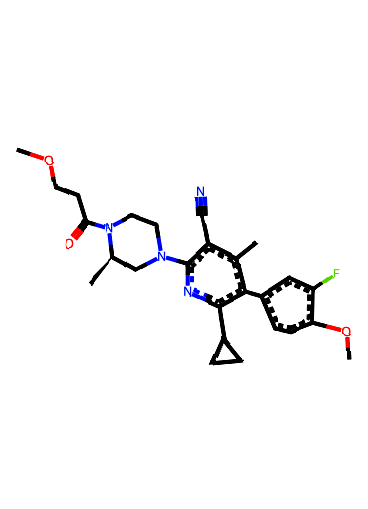 COCCC(=O)N1CCN(c2nc(C3CC3)c(-c3ccc(OC)c(F)c3)c(C)c2C#N)C[C@H]1C